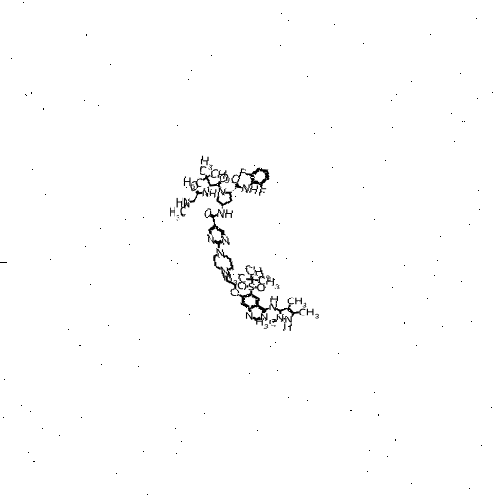 CNCC(=O)N[C@H](C(=O)N1C[C@@H](NC(=O)c2cnc(N3CCN(CCOc4cc5ncnc(NC6C(C)=C(C)NN6C)c5cc4S(=O)(=O)C(C)(C)C)CC3)nc2)C[C@H]1C(=O)Nc1c(F)cccc1F)C(C)(C)C